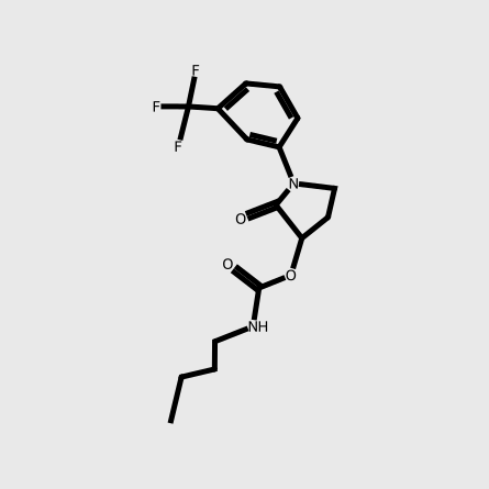 CCCCNC(=O)OC1CCN(c2cccc(C(F)(F)F)c2)C1=O